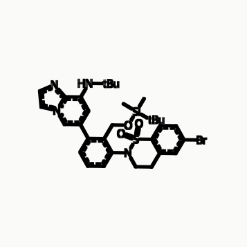 CC(C)(C)Nc1cc(-c2cccc(N3CCc4cc(Br)ccc4S3(=O)=O)c2CO[Si](C)(C)C(C)(C)C)cn2ccnc12